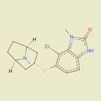 CN1[C@@H]2CC[C@H]1C[C@H](Sc1ccc3[nH]c(=O)n(C)c3c1Cl)C2